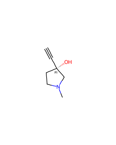 C#C[C@]1(O)CCN(C)C1